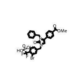 COC(=O)c1ccc(-c2cn(Cc3ccc(C(F)(F)P(=O)(O)O)c(Br)c3)c(=O)n2Cc2ccccc2)cc1